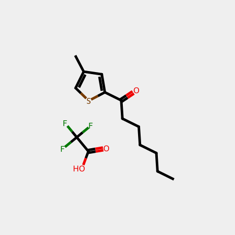 CCCCCCC(=O)c1cc(C)cs1.O=C(O)C(F)(F)F